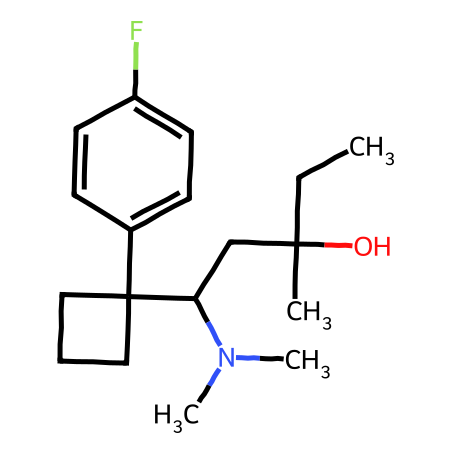 CCC(C)(O)CC(N(C)C)C1(c2ccc(F)cc2)CCC1